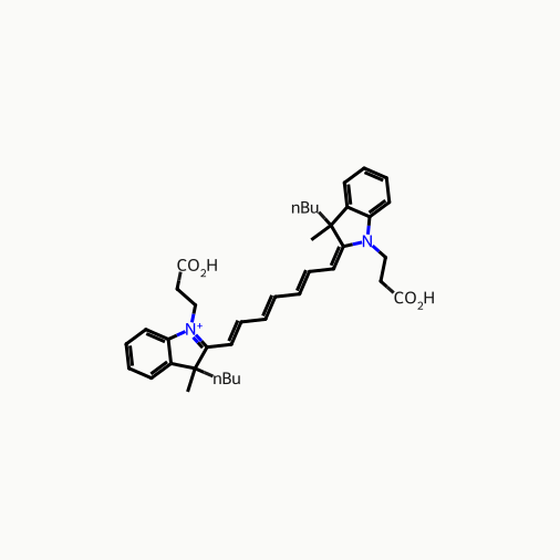 CCCCC1(C)C(/C=C/C=C/C=C/C=C2/N(CCC(=O)O)c3ccccc3C2(C)CCCC)=[N+](CCC(=O)O)c2ccccc21